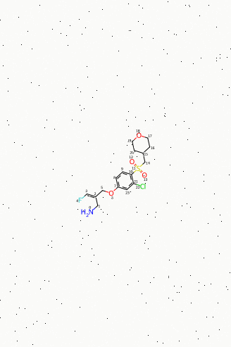 NC/C(=C\F)COc1ccc(S(=O)(=O)CC2CCOCC2)c(Cl)c1